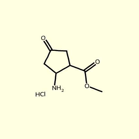 COC(=O)C1CC(=O)CC1N.Cl